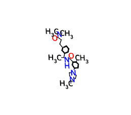 Cc1ccc(N2CCN(C)CC2)cc1C(=O)NC(C)c1cccc(CCC(=O)N(C)C)c1